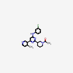 CC(=O)N1CCCC(c2nc(Nc3cccc(F)c3)cc(-c3cnccc3C)n2)C1